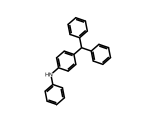 [c]1ccc(Nc2ccc(C(c3ccccc3)c3ccccc3)cc2)cc1